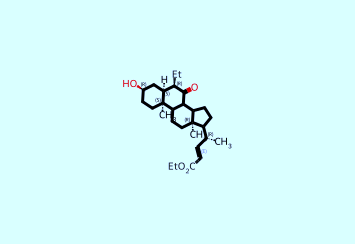 CCOC(=O)/C=C/[C@@H](C)C1CCC2C3C(=O)[C@H](CC)[C@@H]4C[C@H](O)CC[C@]4(C)C3CC[C@@]21C